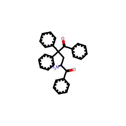 NC(CC(C(=O)c1ccccc1)(c1ccccc1)c1ccccc1)C(=O)c1ccccc1